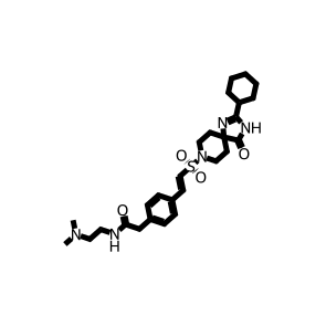 CN(C)CCNC(=O)Cc1ccc(/C=C/S(=O)(=O)N2CCC3(CC2)N=C(C2CCCCC2)NC3=O)cc1